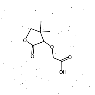 CC1(C)COC(=O)C1OCC(=O)O